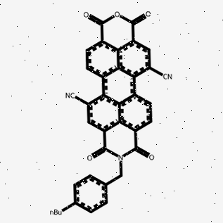 CCCCc1ccc(CN2C(=O)c3ccc4c5c(C#N)cc6c7c(ccc(c8c(C#N)cc(c3c48)C2=O)c75)C(=O)OC6=O)cc1